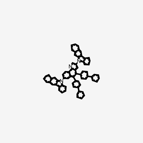 c1ccc(-c2ccc(-c3c(-c4ccc(-c5ccccc5)cc4)c4cc(-n5c6ccccc6c6cc7ccccc7cc65)cnc4c4ccc(-n5c6ccccc6c6cc7ccccc7cc65)cc34)cc2)cc1